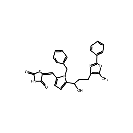 Cc1oc(-c2ccccc2)nc1CCC(O)c1ccc(C=C2SC(=O)NC2=O)n1Cc1ccccc1